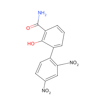 NC(=O)c1cccc(-c2ccc([N+](=O)[O-])cc2[N+](=O)[O-])c1O